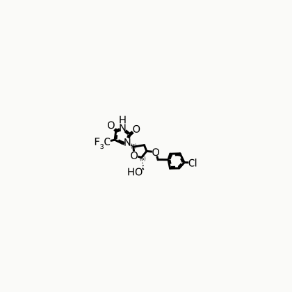 O=c1[nH]c(=O)n([C@@H]2CC(OCc3ccc(Cl)cc3)[C@H](CO)O2)cc1C(F)(F)F